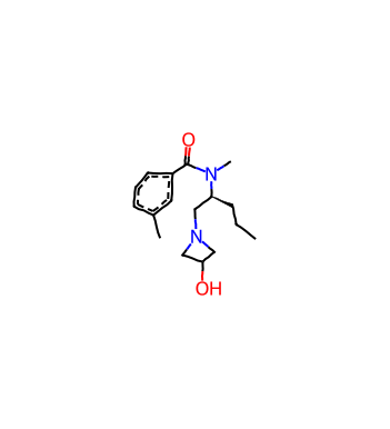 CCC[C@@H](CN1CC(O)C1)N(C)C(=O)c1cccc(C)c1